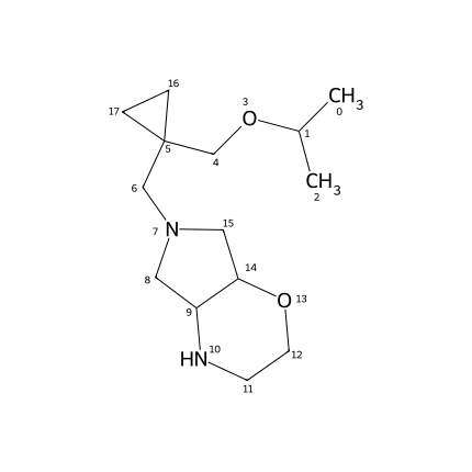 CC(C)OCC1(CN2CC3NCCOC3C2)CC1